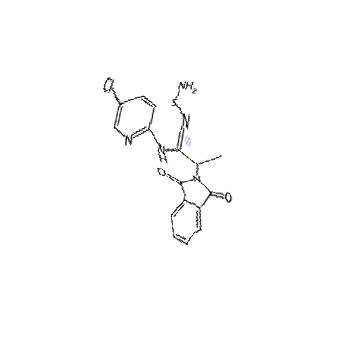 CC(/C(=N/SN)Nc1ccc(Cl)cn1)N1C(=O)c2ccccc2C1=O